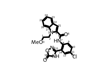 COCCn1c(C(=O)Nc2ccc(Cl)cc2-c2noc(=O)[nH]2)cc2ccccc21